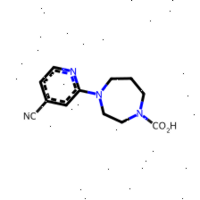 N#Cc1ccnc(N2CCCN(C(=O)O)CC2)c1